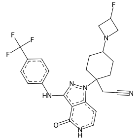 N#CCC1(n2nc(Nc3ccc(C(F)(F)F)cc3)c3c(=O)[nH]ccc32)CCC(N2CC(F)C2)CC1